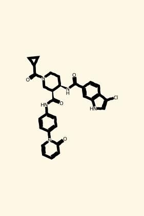 O=C(N[C@@H]1CCN(C(=O)C2CC2)C[C@@H]1C(=O)Nc1ccc(-n2ccccc2=O)cc1)c1ccc2c(Cl)c[nH]c2c1